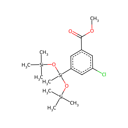 COC(=O)c1cc(Cl)cc([Si](C)(O[Si](C)(C)C)O[Si](C)(C)C)c1